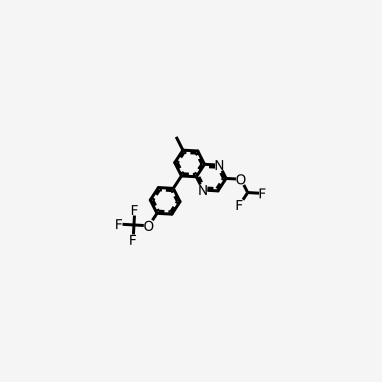 Cc1cc(-c2ccc(OC(F)(F)F)cc2)c2ncc(OC(F)F)nc2c1